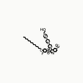 CCCCCCCCCCCCCCOc1ccc(S(=O)(=O)c2cnc3ccc([S+](C)[O-])cc3c2N2CCC(N3CCC(N4CCN(CCO)CC4)CC3)CC2)cc1F